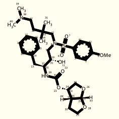 COc1ccc(S(=O)(=O)N(C[C@H](O)[C@H](Cc2ccccc2)NC(=O)O[C@@H]2CO[C@@H]3OCC[C@@H]32)CC(C)(C)CCN(C)C)cc1